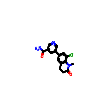 CN1C(=O)CCc2cc(-c3cncc(C(N)=O)c3)cc(Cl)c21